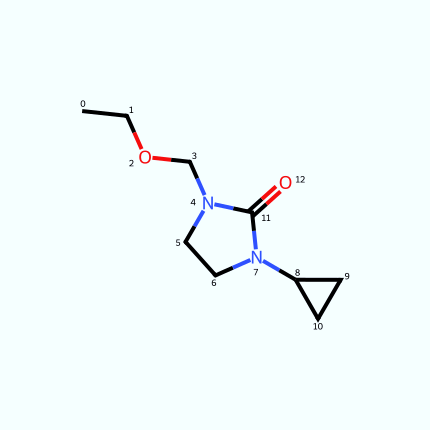 CCOCN1CCN(C2CC2)C1=O